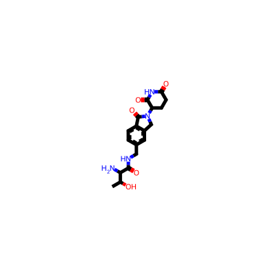 CC(O)C(N)C(=O)NCc1ccc2c(c1)CN(C1CCC(=O)NC1=O)C2=O